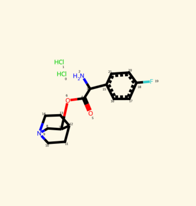 Cl.Cl.NC(C(=O)OC1CN2CCC1CC2)c1ccc(F)cc1